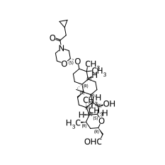 C[C@@H]1C[C@H](CC=O)O[C@H]2[C@H]1[C@@]1(C)CC[C@@]34C[C@@]35CCC(O[C@H]3CN(C(=O)CC6CC6)CCO3)C(C)(C)[C@@H]5CC[C@H]4[C@]1(C)[C@H]2O